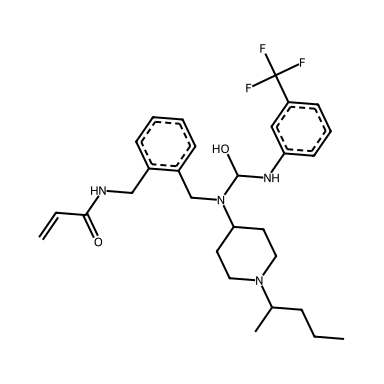 C=CC(=O)NCc1ccccc1CN(C1CCN(C(C)CCC)CC1)C(O)Nc1cccc(C(F)(F)F)c1